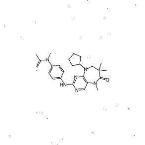 C=C(C)N(C)c1ccc(Nc2ncc3c(n2)N(C2CCCC2)CC(C)(C)C(=O)N3C)cc1